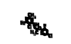 CCc1nc(C)nc(NC[C@@H](C)Oc2ncc(Cl)cc2F)c1Cl